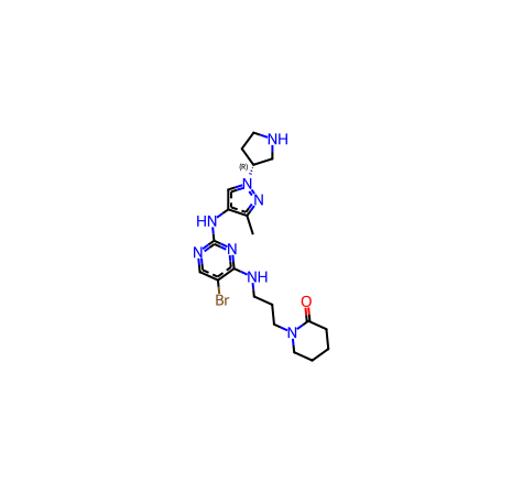 Cc1nn([C@@H]2CCNC2)cc1Nc1ncc(Br)c(NCCCN2CCCCC2=O)n1